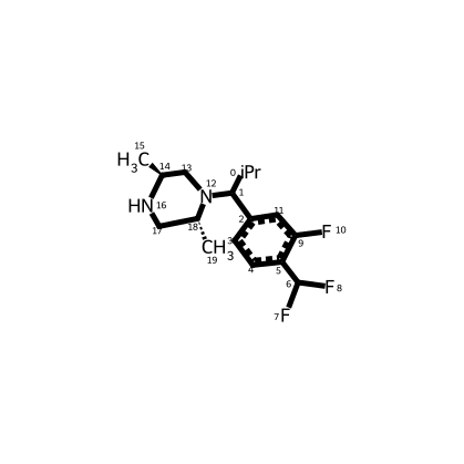 CC(C)C(c1ccc(C(F)F)c(F)c1)N1C[C@H](C)NC[C@H]1C